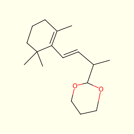 CC1=C(/C=C/C(C)C2OCCCO2)C(C)(C)CCC1